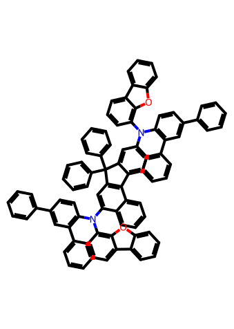 c1ccc(-c2ccc(N(c3ccc4c(c3)C(c3ccccc3)(c3ccccc3)c3cc(N(c5ccc(-c6ccccc6)cc5-c5ccccc5)c5cccc6c5oc5ccccc56)c5ccccc5c3-4)c3cccc4c3oc3ccccc34)c(-c3ccccc3)c2)cc1